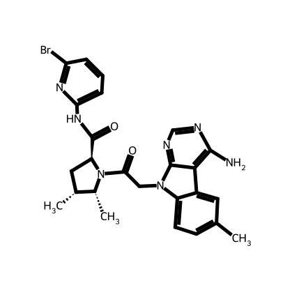 Cc1ccc2c(c1)c1c(N)ncnc1n2CC(=O)N1[C@H](C)[C@H](C)C[C@H]1C(=O)Nc1cccc(Br)n1